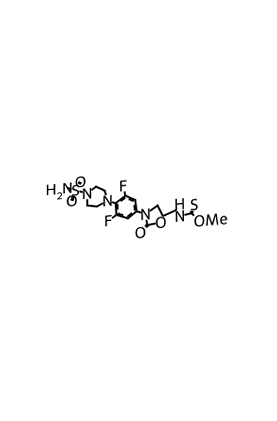 COC(=S)NCC1CN(c2cc(F)c(N3CCN(S(N)(=O)=O)CC3)c(F)c2)C(=O)O1